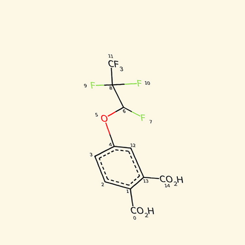 O=C(O)c1ccc(OC(F)C(F)(F)C(F)(F)F)cc1C(=O)O